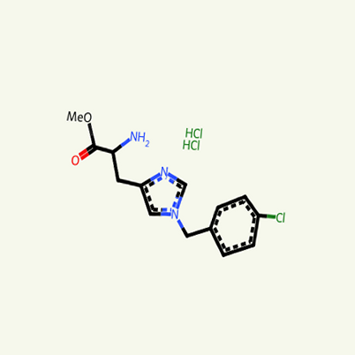 COC(=O)C(N)Cc1cn(Cc2ccc(Cl)cc2)cn1.Cl.Cl